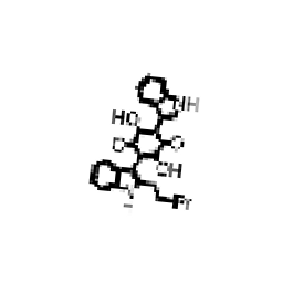 CC(C)CCc1[nH]c2ccccc2c1C1=C(O)C(=O)C(c2c[nH]c3ccccc23)=C(O)C1=O